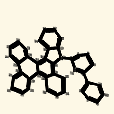 c1ccc(-c2cccc(-n3c4ccccc4c4c5c6ccccc6c6ccccc6c5c5ccccc5c43)n2)cc1